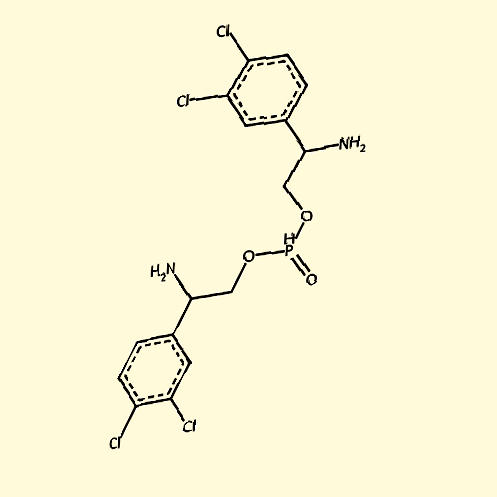 NC(CO[PH](=O)OCC(N)c1ccc(Cl)c(Cl)c1)c1ccc(Cl)c(Cl)c1